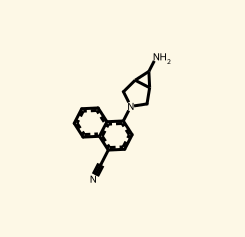 N#Cc1ccc(N2CC3C(N)C3C2)c2ccccc12